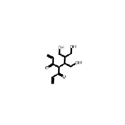 C=CC(=O)C(C(=O)C=C)C(CO)C(CO)CO